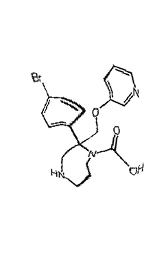 O=C(O)N1CCNCC1(COc1cccnc1)c1ccc(Br)cc1